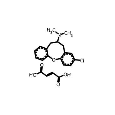 CN(C)C1Cc2ccccc2Oc2ccc(Cl)cc2C1.O=C(O)C=CC(=O)O